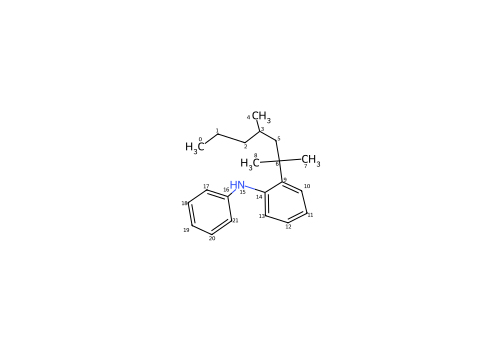 CCCC(C)CC(C)(C)c1ccccc1Nc1ccccc1